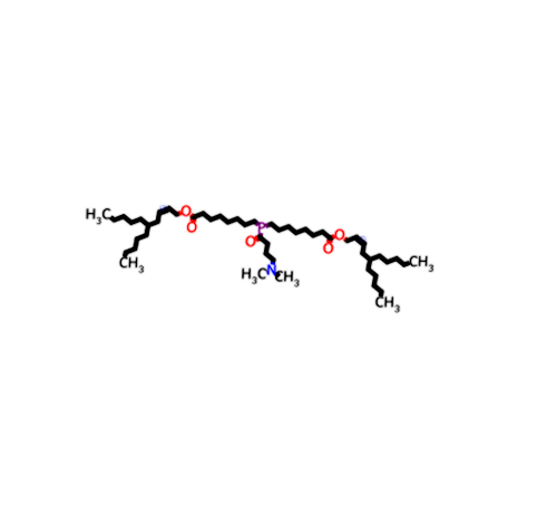 CCCCCC(C/C=C\COC(=O)CCCCCCCP(CCCCCCCC(=O)OC/C=C\CC(CCCCC)CCCCC)C(=O)CCCN(C)C)CCCCC